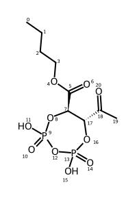 CCCCOC(=O)[C@@H]1OP(=O)(O)OP(=O)(O)O[C@H]1C(C)=O